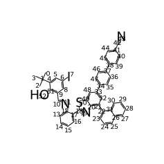 CC(C)(C)c1cc(I)cc(/C=N/c2ccccc2-c2nc3c(-c4cccc5ccccc45)cc(-c4ccc(-c5ccc(C#N)cc5)cc4)cc3s2)c1O